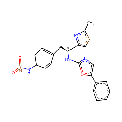 Cc1nc([C@H](CC2=CCC(N[SH](=O)=O)C=C2)Nc2ncc(-c3ccccc3)o2)cs1